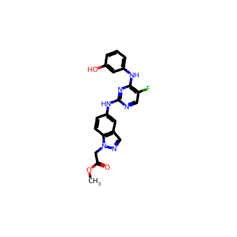 COC(=O)Cn1ncc2cc(Nc3ncc(F)c(Nc4cccc(O)c4)n3)ccc21